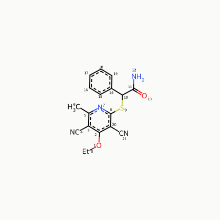 CCOc1c(C#N)c(C)nc(SC(C(N)=O)c2ccccc2)c1C#N